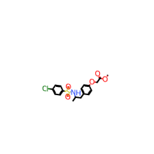 COC(=O)COc1ccc(CC(C)NS(=O)(=O)c2ccc(Cl)cc2)cc1